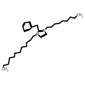 CCCCCCCCCCCCn1cc[n+](CCCCCCCCC)c1Cc1ccccc1